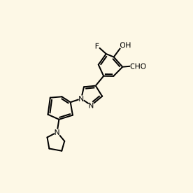 O=Cc1cc(-c2cnn(-c3cccc(N4CCCC4)c3)c2)cc(F)c1O